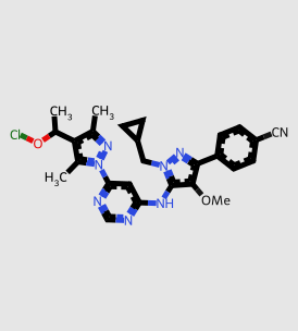 COc1c(-c2ccc(C#N)cc2)nn(CC2CC2)c1Nc1cc(-n2nc(C)c(C(C)OCl)c2C)ncn1